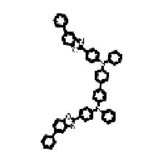 C1=CC2OC(c3ccc(N(c4ccccc4)c4ccc(C5=CCC(N(c6ccccc6)c6ccc(-c7nc8cc(-c9ccccc9)ccc8o7)cc6)C=C5)cc4)cc3)=NC2C=C1c1ccccc1